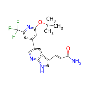 CC(C)(C)Oc1cc(-c2cnc3[nH]cc(C=CC(N)=O)c3c2)cc(C(F)(F)F)n1